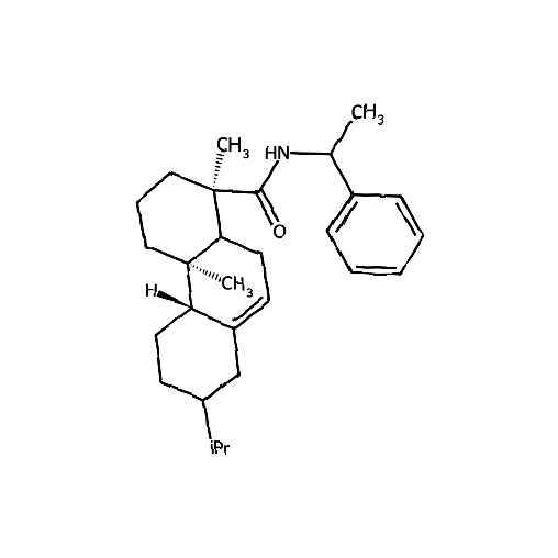 CC(NC(=O)[C@]1(C)CCC[C@@]2(C)C1CC=C1CC(C(C)C)CC[C@@H]12)c1ccccc1